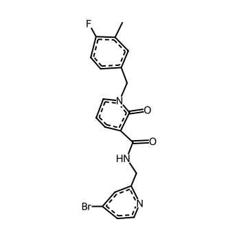 Cc1cc(Cn2cccc(C(=O)NCc3cc(Br)ccn3)c2=O)ccc1F